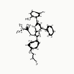 CCN(CC)C(=O)Cc1c(-c2ccc(OCCF)cc2)nn2c(-c3ccccc3)cc(-c3cc(C)ccc3O)nc12